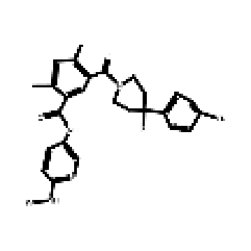 Cc1cc(C)c(C(=O)N2CCC(F)(c3ccc(C#N)cc3)CC2)cc1C(=O)Nc1ccc(NC(C)C)nc1